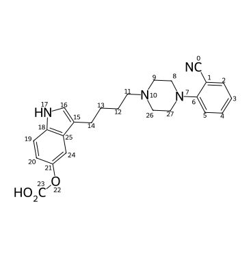 N#Cc1ccccc1N1CCN(CCCCc2c[nH]c3ccc(OC(=O)O)cc23)CC1